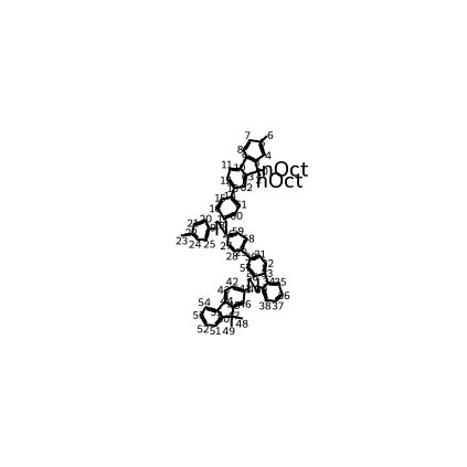 CCCCCCCCC1(CCCCCCCC)c2cc(C)ccc2-c2ccc(-c3ccc(N(c4ccc(C)cc4)c4ccc(-c5ccc6c7ccccc7n(-c7ccc8c(c7)C(C)(C)c7ccccc7-8)c6c5)cc4)cc3)cc21